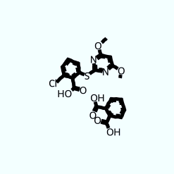 COc1cc(OC)nc(Sc2cccc(Cl)c2C(=O)O)n1.O=C(O)c1ccccc1C(=O)O